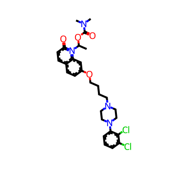 CC(OC(=O)N(C)C)n1c(=O)ccc2ccc(OCCCCN3CCN(c4cccc(Cl)c4Cl)CC3)cc21